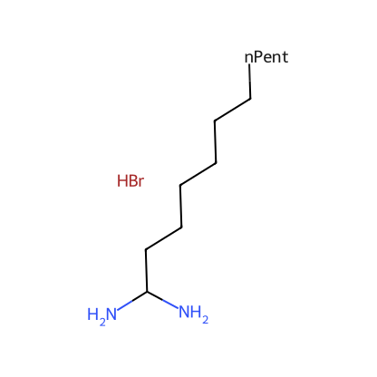 Br.CCCCCCCCCCCC(N)N